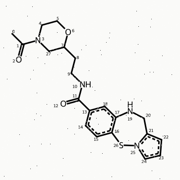 CC(=O)N1CCOC(CCNC(=O)c2ccc3c(c2)NCc2cccn2S3)C1